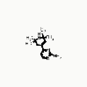 CC1(C)C=C(c2ccnc(N)n2)CC(C)(C)N1